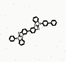 c1ccc(-c2ccc(-n3c4ccccc4n4c5cc(-c6ccc7nc8n(-c9ccccc9)c9ccccc9n8c7c6)ccc5nc34)cc2)cc1